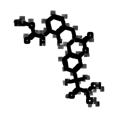 CN(C)C(=O)C(F)(F)c1ccc2c(c1)OC(=O)N(Cc1cccc(NC(=O)OC(C)(C)C)c1F)C2